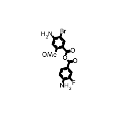 COc1cc(N)c(Br)cc1C(=O)OC(=O)c1ccc(N)c(F)c1